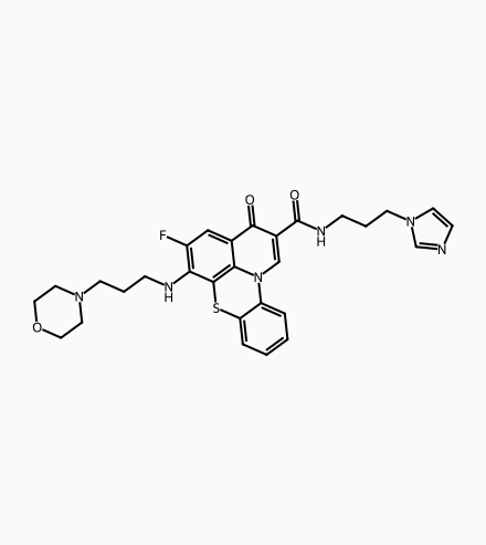 O=C(NCCCn1ccnc1)c1cn2c3c(c(NCCCN4CCOCC4)c(F)cc3c1=O)Sc1ccccc1-2